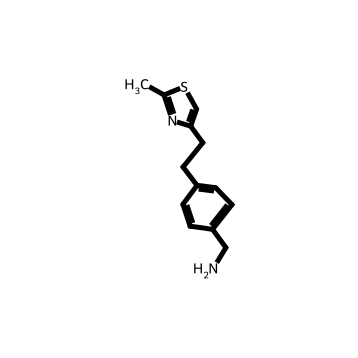 Cc1nc(CCc2ccc(CN)cc2)cs1